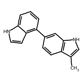 Cc1c[nH]c2cc(-c3cccc4[nH]ccc34)ccc12